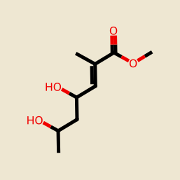 COC(=O)C(C)=CC(O)CC(C)O